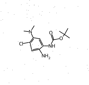 CN(C)c1cc(NC(=O)OC(C)(C)C)c(N)cc1Cl